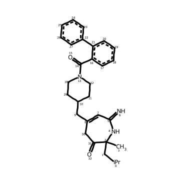 CC(C)CC1(C)NC(=N)C=C(CC2CCN(C(=O)c3ccccc3-c3ccccc3)CC2)CC1=O